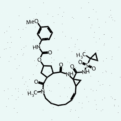 COc1cccc(NC(=O)OC2CC3C(=O)NC4(C(=O)NS(=O)(=O)C5(C)CC5)CC4C=CCCCCN(C)C(=O)C3C2)c1